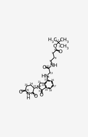 CC(C)(C)OC(=O)CCCNC(=O)CNc1cccc2c1CN(C1CCC(=O)NC1=O)C2=O